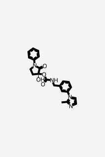 Cc1nccn1-c1cccc(CNC(=O)O[C@@]2(O)CCN(c3ccccc3)C2=O)c1